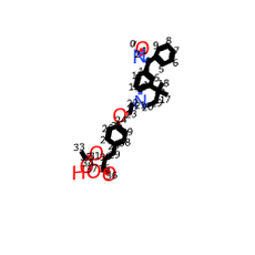 CO/N=C(\c1ccccc1)c1ccc2c(c1)C(C)(C)CCN2CCOc1ccc(CC(OC(C)=O)C(=O)O)cc1